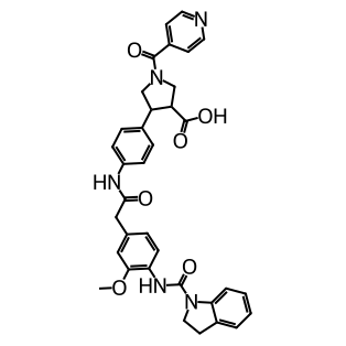 COc1cc(CC(=O)Nc2ccc(C3CN(C(=O)c4ccncc4)CC3C(=O)O)cc2)ccc1NC(=O)N1CCc2ccccc21